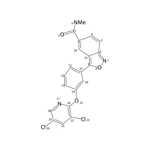 CNC(=O)c1ccc2noc(-c3cccc(Oc4ncc(Cl)cc4Cl)c3)c2c1